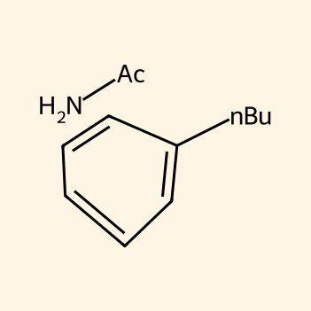 CC(N)=O.[CH2]CCCc1ccccc1